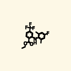 CCOC(=O)c1ccc(C(F)(F)F)cc1Nc1c(C)cc(F)cc1C